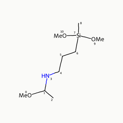 COC(C)NCCC[Si](C)(OC)OC